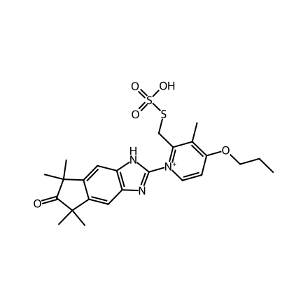 CCCOc1cc[n+](-c2nc3cc4c(cc3[nH]2)C(C)(C)C(=O)C4(C)C)c(CSS(=O)(=O)O)c1C